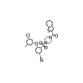 Cc1cc(Cl)cc(Oc2ccc(C#N)cc2S(=O)(=O)N2CCN(C(=O)c3cc4ccccc4s3)CC2)c1